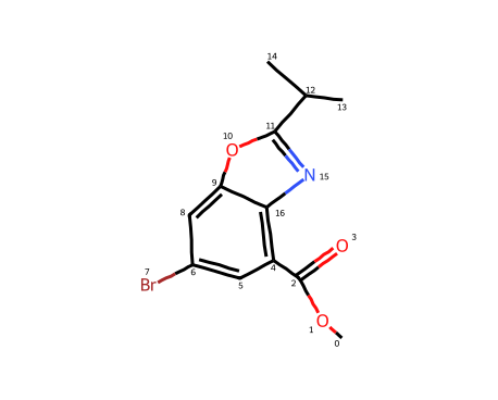 COC(=O)c1cc(Br)cc2oc(C(C)C)nc12